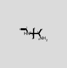 C=CNC(C)(C)C(C)N